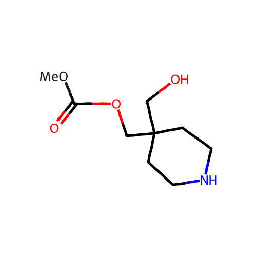 COC(=O)OCC1(CO)CCNCC1